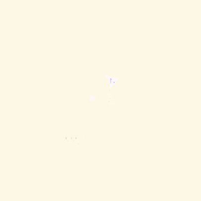 CC(C/C=C1/C(=O)N(c2ccccc2)c2ccccc21)CCC(=O)O